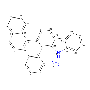 Nc1ccccc1-c1c(-c2cccc3ccccc23)ccc2c1[nH]c1ccccc12